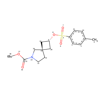 Cc1ccc(S(=O)(=O)O[C@H]2C[C@]3(CCN(C(=O)OC(C)(C)C)C3)C2)cc1